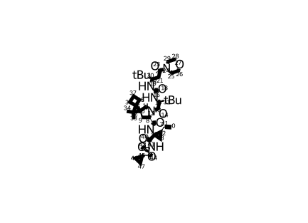 C=C[C@@H]1C[C@]1(NC(=O)[C@@H]1C[C@@]2(CN1C(=O)[C@@H](NC(=O)N[C@H](CC(=O)N1CCOCC1)C(C)(C)C)C(C)(C)C)C(C)(C)C21CCC1)C(=O)NS(=O)(=O)C1CC1